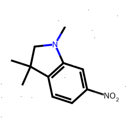 CN1CC(C)(C)c2ccc([N+](=O)[O-])cc21